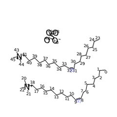 CCCCCCCC/C=C\CCCCCCCCC[N+](C)(C)C.CCCCCCCC/C=C\CCCCCCCCC[N+](C)(C)C.O=S(=O)([O-])[O-]